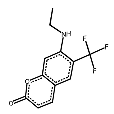 CCNc1cc2oc(=O)ccc2cc1C(F)(F)F